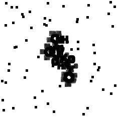 C[C@H](NC(=O)C(C)(C)NC(=O)C1CCCN1C(=O)C1CCCN1)c1ccccc1